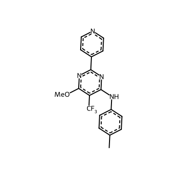 COc1nc(-c2ccncc2)nc(Nc2ccc(C)cc2)c1C(F)(F)F